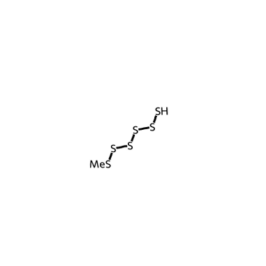 CSSSSSS